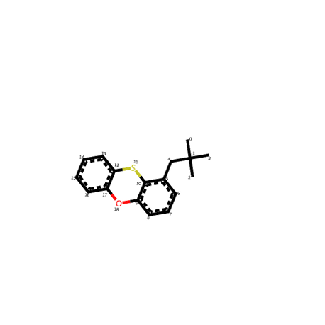 CC(C)(C)Cc1cccc2c1Sc1ccccc1O2